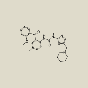 COc1ccccc1C(=O)c1cc(C)ccc1NC(=O)Nc1ncc(CN2CCCCC2)s1